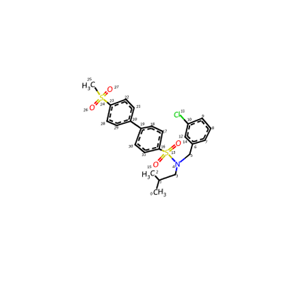 CC(C)CN(Cc1cccc(Cl)c1)S(=O)(=O)c1ccc(-c2ccc(S(C)(=O)=O)cc2)cc1